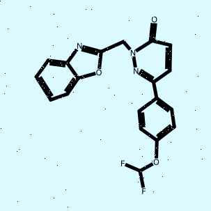 O=c1ccc(-c2ccc(OC(F)F)cc2)nn1Cc1nc2ccccc2o1